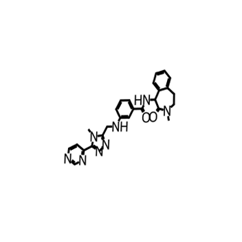 CN1CCc2ccccc2C(NC(=O)c2cccc(NCc3nnc(-c4ccncn4)n3C)c2)C1=O